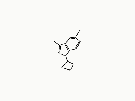 Cc1nn(C2COC2)c2ccc(F)cc12